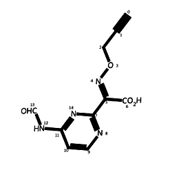 C#CCON=C(C(=O)O)c1nccc(NC=O)n1